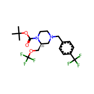 CC(C)(C)OC(=O)N1CCN(Cc2ccc(C(F)(F)F)cc2)C[C@H]1COC(F)(F)F